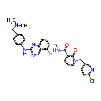 CN(C)Cc1ccc(Nc2ncc3c(F)c(CNC(=O)c4cccn(Cc5ccc(Cl)nc5)c4=O)ccc3n2)cc1